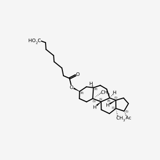 CC(=O)[C@H]1CC[C@H]2[C@@H]3CC[C@@H]4C[C@H](OC(=O)CCCCCCC(=O)O)CC[C@]4(C)[C@H]3CC[C@]12C